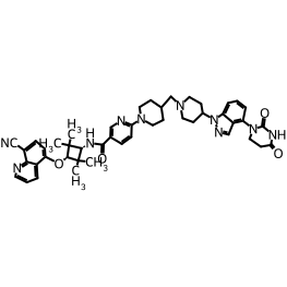 CC1(C)[C@H](NC(=O)c2ccc(N3CCC(CN4CCC(n5ncc6c(N7CCC(=O)NC7=O)cccc65)CC4)CC3)nc2)C(C)(C)[C@H]1Oc1ccc(C#N)c2ncccc12